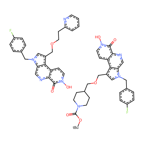 CC(C)(C)OC(=O)N1CCC(COCc2cn(Cc3ccc(F)cc3)c3cnc4c(=O)n(O)ccc4c23)CC1.O=c1c2ncc3c(c(COCCc4ccccn4)cn3Cc3ccc(F)cc3)c2ccn1O